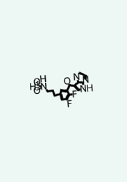 O=C(C1=CNC2N=CC=NC12)c1cc(CCCN[SH](=O)=O)cc(F)c1F